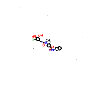 CN(C(=O)/C=C/c1cc(O)c(O)c(Cl)c1)c1ccc(S(=O)(=O)NC2Cc3ccccc3C2)cc1